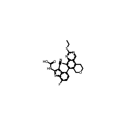 CCSc1ncc2c3c(c(-c4ccc(F)c5sc(NC(=O)O)c(C#N)c45)c(C)c2n1)COCC3